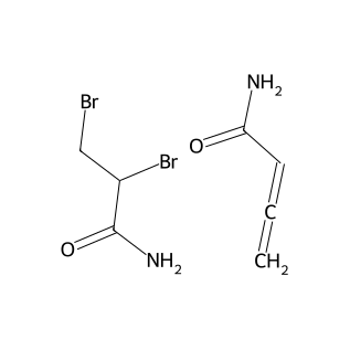 C=C=CC(N)=O.NC(=O)C(Br)CBr